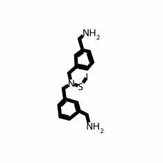 NCc1cccc(CN(Cc2cccc(CN)c2)SI)c1